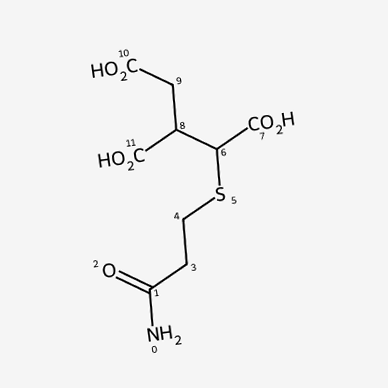 NC(=O)CCSC(C(=O)O)C(CC(=O)O)C(=O)O